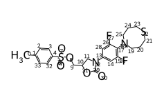 Cc1ccc(S(=O)(=O)OCC2CN(c3cc(F)c(N4CCCSCCC4)c(F)c3)C(=O)O2)cc1